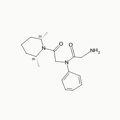 C[C@@H]1CCC[C@H](C)N1C(=O)CN(C(=O)CN)c1ccccc1